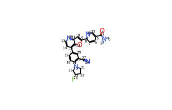 CN(C)C(=O)c1ccc(-c2cc3nccc(-c4ccc(N5CC[C@H](F)C5)c(C#N)c4)c3o2)nc1